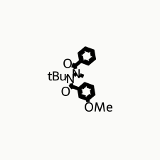 COc1cccc(C(=O)N(N(C)C(=O)c2ccccc2)C(C)(C)C)c1